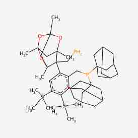 CC12CC3(C)OC(C)(CC(C)(O1)C3(CP)c1cc([Si](C)(C)C)c([Si](C)(C)C)cc1CP(C13CC4CC(CC(C4)C1)C3)C13CC4CC(CC(C4)C1)C3)O2